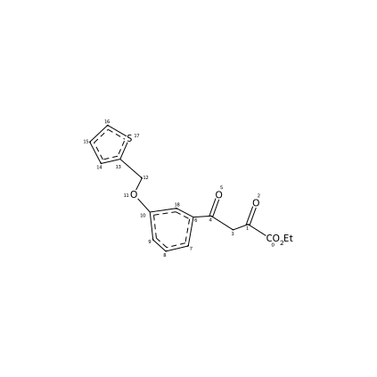 CCOC(=O)C(=O)CC(=O)c1cccc(OCc2cccs2)c1